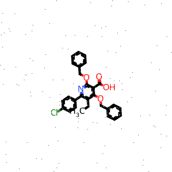 CCc1c(-c2ccc(Cl)cc2)nc(OCc2ccccc2)c(C(=O)O)c1OCc1ccccc1